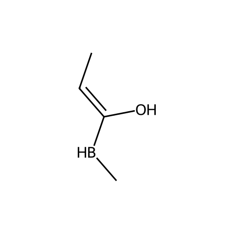 CB/C(O)=C/C